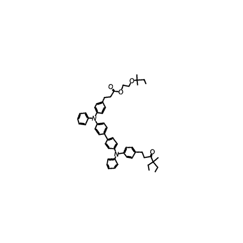 CCC(C)(C)OCCOC(=O)CCc1ccc(N(c2ccccc2)c2ccc(-c3ccc(N(c4ccccc4)c4ccc(CCC(=O)C(C)(CC)CC)cc4)cc3)cc2)cc1